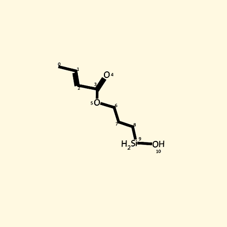 CC=CC(=O)OCCC[SiH2]O